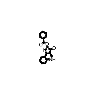 O=C(On1nc2c3ccccc3[nH]cc-2c1=O)c1ccccc1